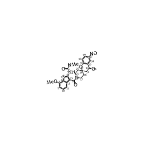 CNC(=O)Nc1sc2c(OC)cccc2c1C(=O)N1CCC2(CC1)CC(=O)c1cc(N=O)ccc1O2